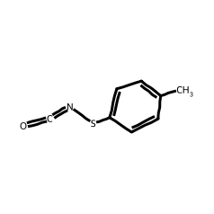 Cc1ccc(SN=C=O)cc1